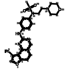 CC(C)c1noc2ccc3cnc(Nc4ccc(N(CCN5CCOCC5)S(C)(=O)=O)cc4)nc3c12